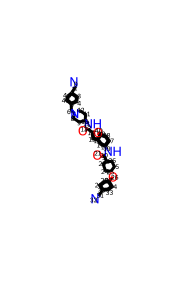 N#Cc1ccc(CN2CCC(NC(=O)c3cc4cc(NC(=O)C5CCC(Oc6ccc(C#N)cc6)CC5)ccc4o3)CC2)cc1